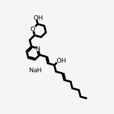 CCCCCC=CCC(O)C=Cc1cccc(CC2CCCC(O)O2)n1.[NaH]